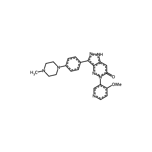 COc1ccncc1-n1nc2c(-c3ccc(N4CCN(C)CC4)cc3)n[nH]c2cc1=O